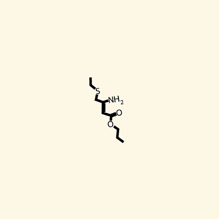 CCCOC(=O)/C=C(\N)CSCC